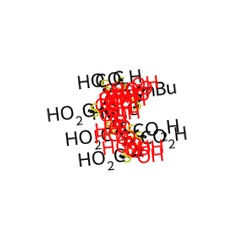 CCCCOC1OC(CSCC(=O)O)C(OC2OC(CSCC(=O)O)C(OC3OC(CSCC(=O)O)C(OC4OC(CSCC(=O)O)C(OC5OC(CSCC(=O)O)C(OC6OC(CSCC(=O)O)C(OC7OC(CSCC(=O)O)C(OC8OC(CSCC(=O)O)CC(O)C8O)C(O)C7O)C(O)C6O)C(O)C5O)C(O)C4O)C(O)C3O)C(O)C2O)C(O)C1O